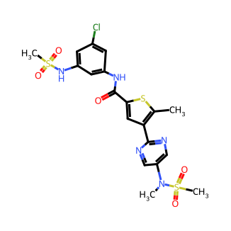 Cc1sc(C(=O)Nc2cc(Cl)cc(NS(C)(=O)=O)c2)cc1-c1ncc(N(C)S(C)(=O)=O)cn1